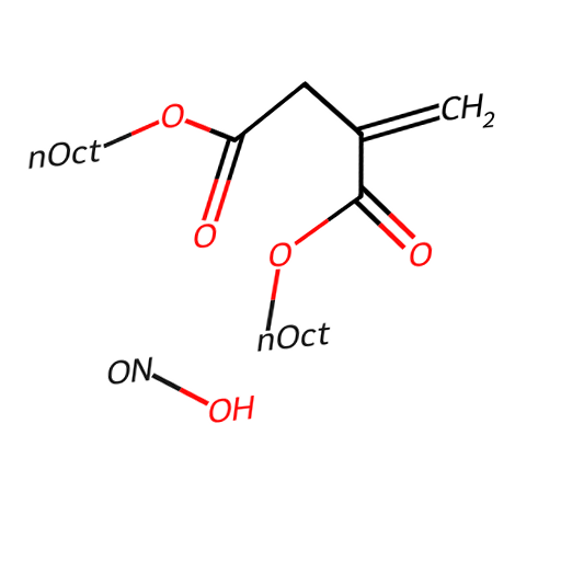 C=C(CC(=O)OCCCCCCCC)C(=O)OCCCCCCCC.O=NO